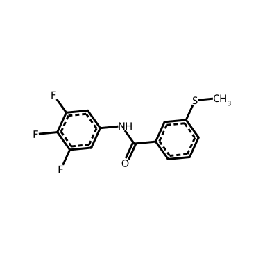 CSc1cccc(C(=O)Nc2cc(F)c(F)c(F)c2)c1